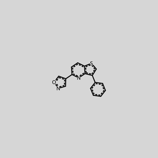 c1ccc(-c2csc3ccc(-c4cnoc4)nc23)cc1